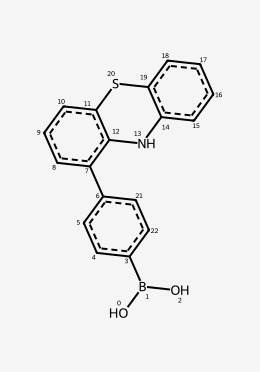 OB(O)c1ccc(-c2cccc3c2Nc2ccccc2S3)cc1